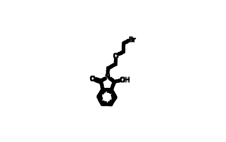 O=C1c2ccccc2C(O)N1CCOCCBr